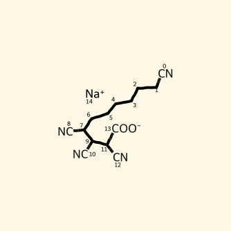 N#CCCCCCCC(C#N)C(C#N)C(C#N)C(=O)[O-].[Na+]